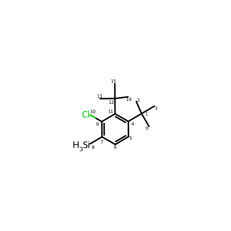 CC(C)(C)c1ccc([SiH3])c(Cl)c1C(C)(C)C